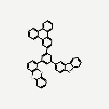 c1ccc2c(c1)Oc1cccc(-c3cc(-c4ccc5oc6ccccc6c5c4)cc(-c4ccc5c6ccccc6c6ccccc6c5c4)c3)c1S2